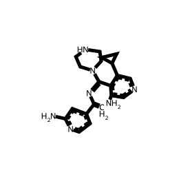 C=C(/N=C(\c1c(N)cncc1C1CC1)N1CCNCC1)c1ccnc(N)c1